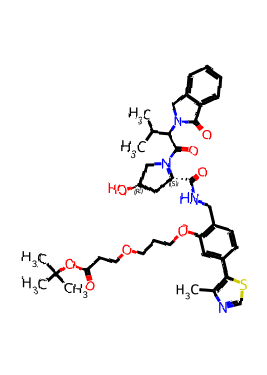 Cc1ncsc1-c1ccc(CNC(=O)[C@@H]2C[C@@H](O)CN2C(=O)C(C(C)C)N2Cc3ccccc3C2=O)c(OCCCOCCC(=O)OC(C)(C)C)c1